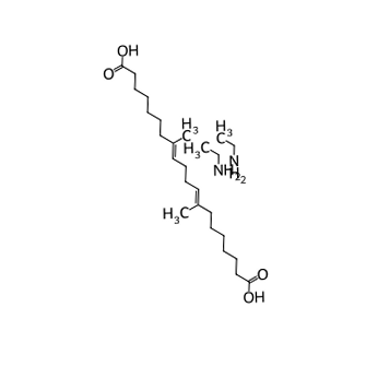 C/C(=C\CC/C=C(\C)CCCCCCC(=O)O)CCCCCCC(=O)O.CCN.CCN